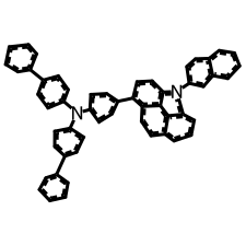 c1ccc(-c2ccc(N(c3ccc(-c4ccccc4)cc3)c3ccc(-c4ccc5c6c4ccc4cccc(c46)n5-c4ccc5ccccc5c4)cc3)cc2)cc1